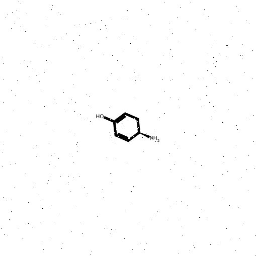 N[C@H]1C=CC(O)=CC1